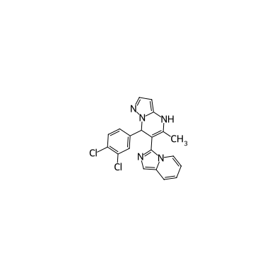 CC1=C(c2ncc3ccccn23)C(c2ccc(Cl)c(Cl)c2)n2nccc2N1